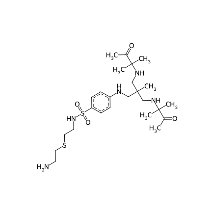 CC(=O)C(C)(C)NCC(C)(CNc1ccc(S(=O)(=O)NCCSCCN)cc1)CNC(C)(C)C(C)=O